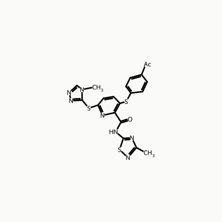 CC(=O)c1ccc(Sc2ccc(Sc3nncn3C)nc2C(=O)Nc2nc(C)ns2)cc1